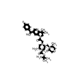 C[C@@H]1CN(CC(=O)N2CC(C)(C)c3ncc(C(O)c4ccc(F)cc4)cc32)[C@@H](CN2[C@H](C)COC[C@H]2C)CN1C(=O)OC(C)(C)C